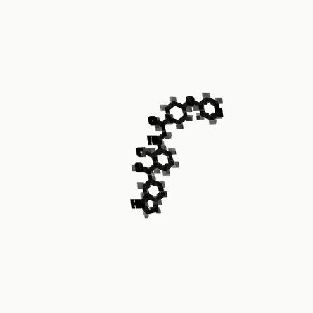 O=C(c1ccc2cc[nH]c2c1)c1cccc(NCC(=O)N2CCC(Oc3ccncc3)CC2)c1Cl